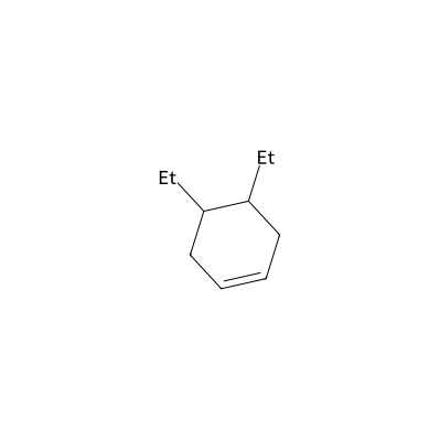 CCC1CC=CCC1CC